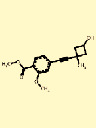 COC(=O)c1ccc(C#CC2(C)CC(O)C2)cc1OC